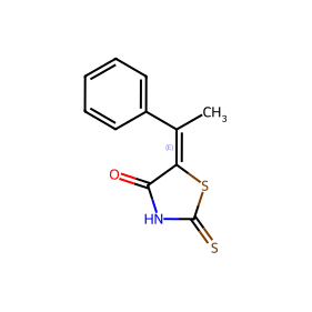 C/C(=C1\SC(=S)NC1=O)c1ccccc1